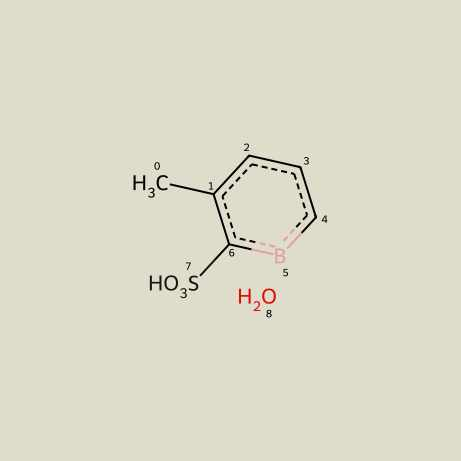 Cc1cccbc1S(=O)(=O)O.O